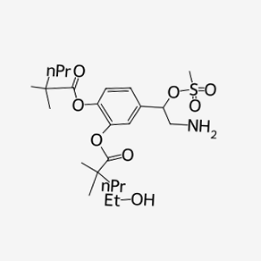 CCCC(C)(C)C(=O)Oc1ccc(C(CN)OS(C)(=O)=O)cc1OC(=O)C(C)(C)CCC.CCO